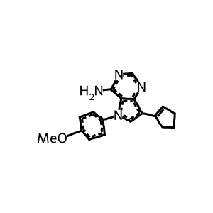 COc1ccc(-n2cc(C3=CCCC3)c3ncnc(N)c32)cc1